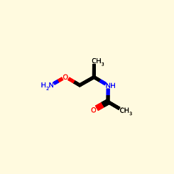 CC(=O)NC(C)CON